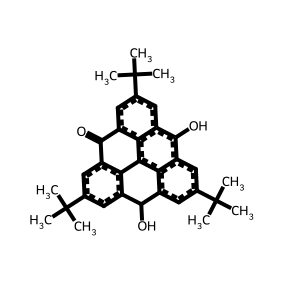 CC(C)(C)c1cc2c3c(c1)C(O)c1cc(C(C)(C)C)cc4c(O)c5cc(C(C)(C)C)cc(c5c-3c14)C2=O